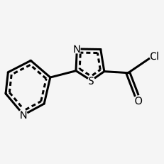 O=C(Cl)c1cnc(-c2cccnc2)s1